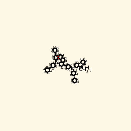 CC1(C)c2ccccc2-c2ccc(N(c3ccc(-c4ccccc4)cc3)c3ccc(-c4ccc(N(c5ccc(-c6ccccc6)cc5)c5ccc(-c6ccccc6)cc5)c5c4ccc4ccccc45)cc3)cc21